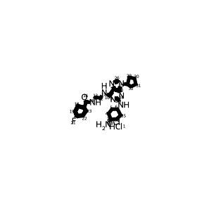 Cl.Cl.N[C@H]1CC[C@H](Nc2nc(NCCNC(=O)c3ccc(F)cc3)c3ncn(C4CCCC4)c3n2)CC1